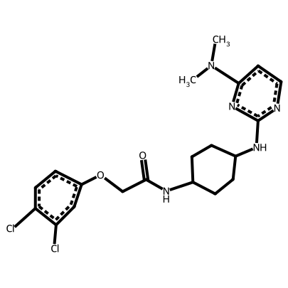 CN(C)c1ccnc(NC2CCC(NC(=O)COc3ccc(Cl)c(Cl)c3)CC2)n1